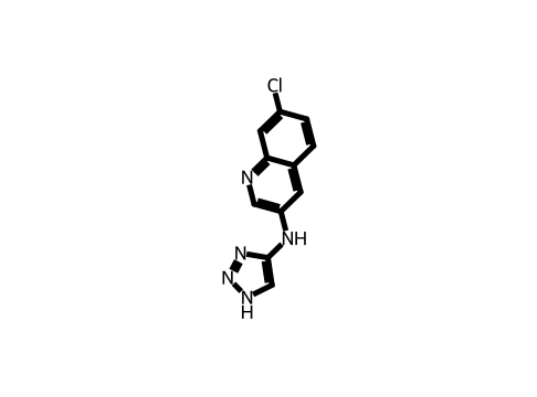 Clc1ccc2cc(Nc3c[nH]nn3)cnc2c1